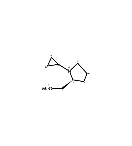 COC[C@@H]1CCCN1C1CC1